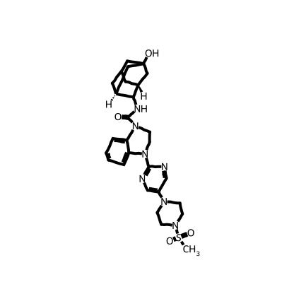 CS(=O)(=O)N1CCN(c2cnc(N3CCN(C(=O)NC4[C@@H]5CC6C[C@H]4CC(O)(C6)C5)c4ccccc43)nc2)CC1